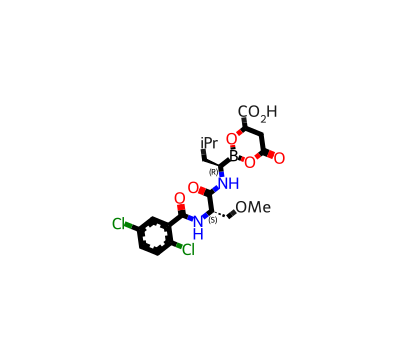 COC[C@H](NC(=O)c1cc(Cl)ccc1Cl)C(=O)N[C@@H](CC(C)C)B1OC(=O)CC(C(=O)O)O1